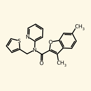 Cc1ccc2c(C)c(C(=O)N(Cc3cccs3)c3ccccn3)oc2c1